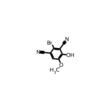 COc1cc(C#N)c(Br)c(C#N)c1O